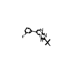 CC(C)(C)c1nc2ncc(-c3cccc(F)c3)cn2n1